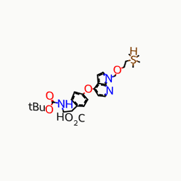 CC(C)(C)OC(=O)NC(Cc1ccc(Oc2ccnc3c2ccn3COCC[SH](C)(C)(C)C)cc1)C(=O)O